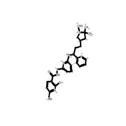 CC(C)(C)c1ccc(C(=O)NSc2cccc(NC(CCC3CN(C=O)C(C)(C)C3)c3ccccn3)n2)c(Cl)n1